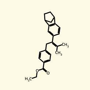 CCOC(=O)c1ccc(CC(=C(C)C)c2ccc3c(c2)C2CCC3C2)cc1